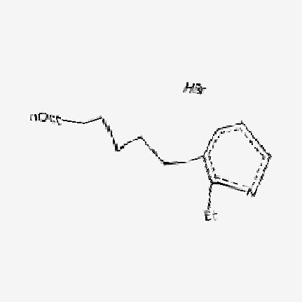 Br.CCCCCCCCCCCCc1cccnc1CC